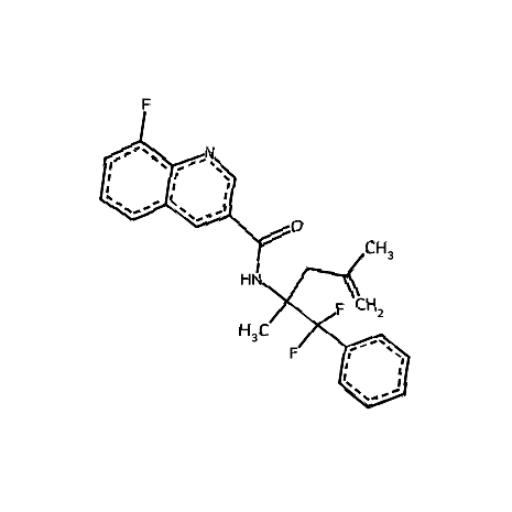 C=C(C)CC(C)(NC(=O)c1cnc2c(F)cccc2c1)C(F)(F)c1ccccc1